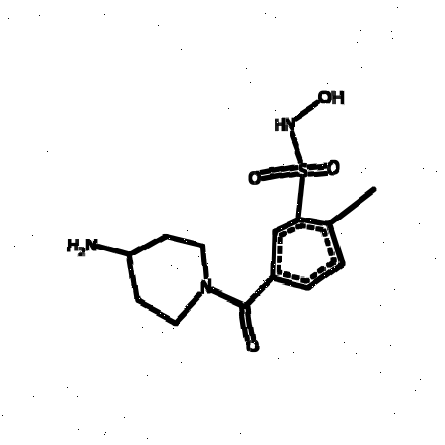 Cc1ccc(C(=O)N2CCC(N)CC2)cc1S(=O)(=O)NO